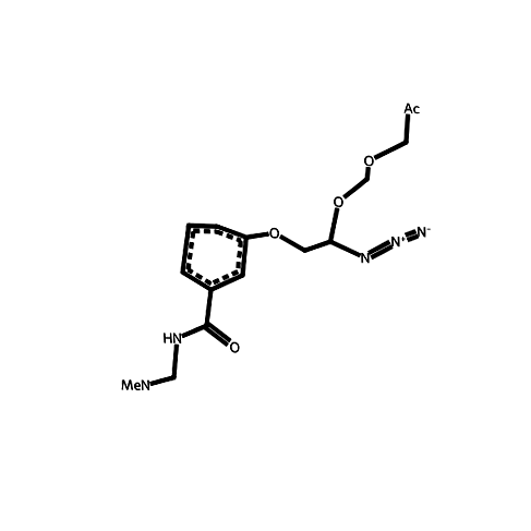 CNCNC(=O)c1cccc(OCC(N=[N+]=[N-])OCOCC(C)=O)c1